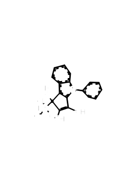 CC1=C(C)[C](C)([Hf]([Cl])([Cl])[Cl])c2c1n(-c1ccccc1)c1ccccc21